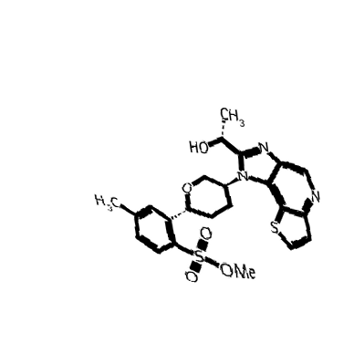 COS(=O)(=O)c1ccc(C)cc1[C@H]1CC[C@H](n2c([C@@H](C)O)nc3cnc4ccsc4c32)CO1